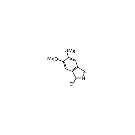 COc1cc2snc(Cl)c2cc1OC